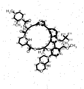 CO[C@@H](C)c1ncc(N2CCN3CCOC[C@@H]3C2)cc1-c1c2c3cc(ccc3n1CC(F)(F)F)-c1csc(n1)C[C@H](NC(=O)N1CCN(C)C[C@@H]1C)C(=O)N1CCC[C@H](N1)C(=O)OCC(C)(C)C2